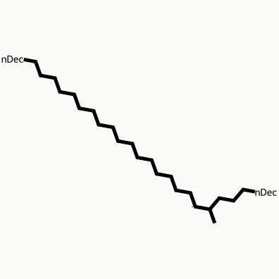 CCCCCCCCCCCCCCCCCCCCCCCCCCC[CH]C(C)CCCCCCCCCCCCC